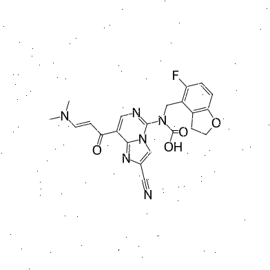 CN(C)C=CC(=O)c1cnc(N(Cc2c(F)ccc3c2CCO3)C(=O)O)n2cc(C#N)nc12